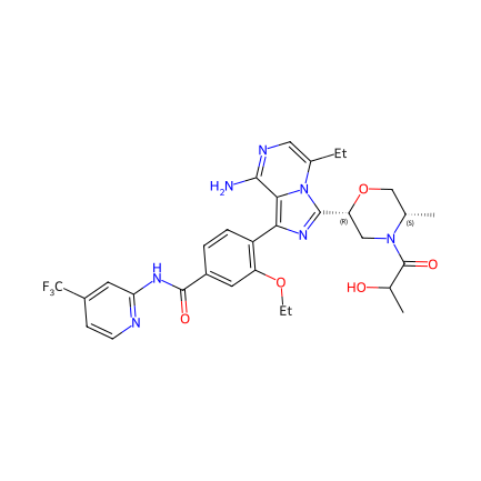 CCOc1cc(C(=O)Nc2cc(C(F)(F)F)ccn2)ccc1-c1nc([C@H]2CN(C(=O)C(C)O)[C@@H](C)CO2)n2c(CC)cnc(N)c12